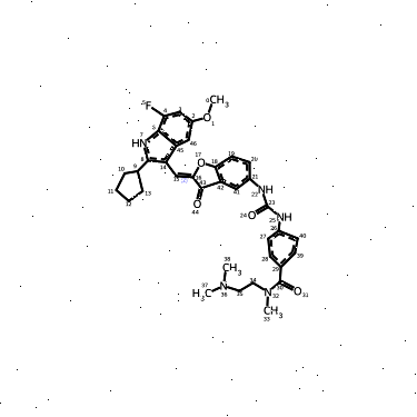 COc1cc(F)c2[nH]c(C3CCCC3)c(/C=C3\Oc4ccc(NC(=O)Nc5ccc(C(=O)N(C)CCN(C)C)cc5)cc4C3=O)c2c1